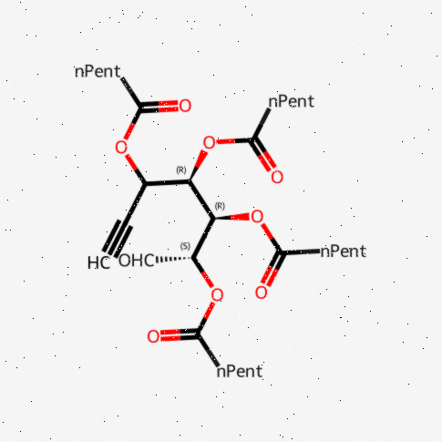 C#CC(OC(=O)CCCCC)[C@@H](OC(=O)CCCCC)[C@@H](OC(=O)CCCCC)[C@@H](C=O)OC(=O)CCCCC